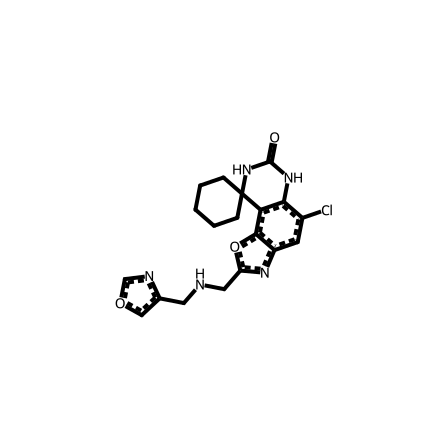 O=C1Nc2c(Cl)cc3nc(CNCc4cocn4)oc3c2C2(CCCCC2)N1